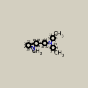 Cc1ccc(N(c2ccc(C)cc2)c2ccc(-c3ccc4c5ccccc5n(C)c4c3)cc2)cc1